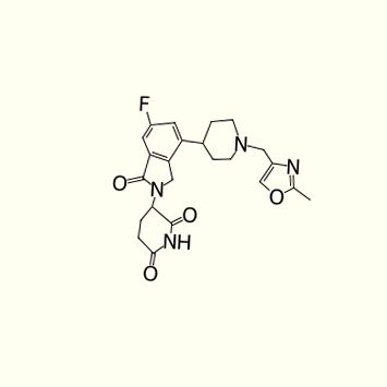 Cc1nc(CN2CCC(c3cc(F)cc4c3CN(C3CCC(=O)NC3=O)C4=O)CC2)co1